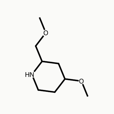 COCC1CC(OC)CCN1